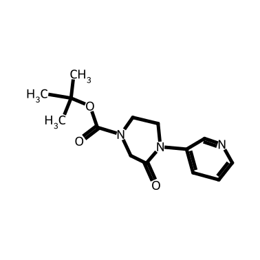 CC(C)(C)OC(=O)N1CCN(c2cccnc2)C(=O)C1